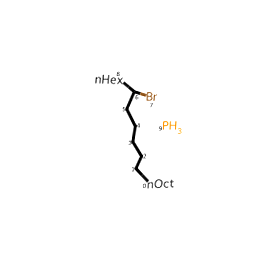 CCCCCCCCCCCCCC(Br)CCCCCC.P